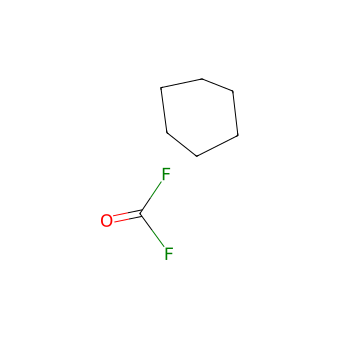 C1CCCCC1.O=C(F)F